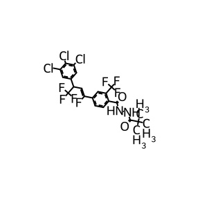 CC(C)(C)C(=O)NNC(=O)c1ccc(C(F)=CC(c2cc(Cl)c(Cl)c(Cl)c2)C(F)(F)F)cc1C(F)(F)F